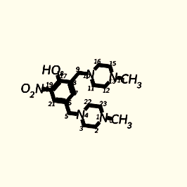 CN1CCN(Cc2cc(CN3CCN(C)CC3)c(O)c([N+](=O)[O-])c2)CC1